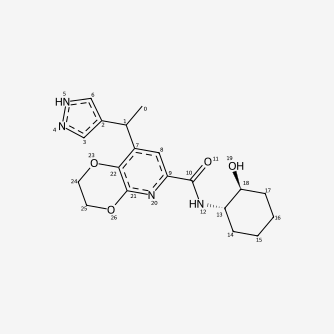 CC(c1cn[nH]c1)c1cc(C(=O)N[C@H]2CCCC[C@@H]2O)nc2c1OCCO2